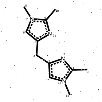 Cc1nc(Cc2cn(C)c(C)n2)cn1C